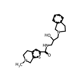 CN1CCc2cc(C(=O)NCC(O)CN3CCc4ccccc4C3)sc2C1